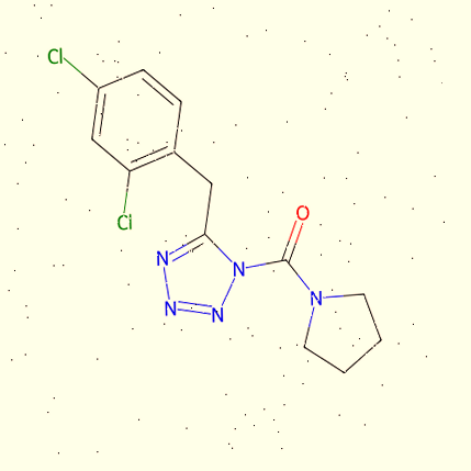 O=C(N1CCCC1)n1nnnc1Cc1ccc(Cl)cc1Cl